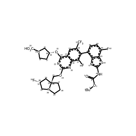 CC(C)(C)OC(=O)Nc1nc2c(-c3c(C(F)(F)F)cc4c(O[C@@H]5CCN(C(=O)O)C5)nc(OC[C@@]56CCCN5C[C@H](F)C6)nc4c3F)ccc(F)c2s1